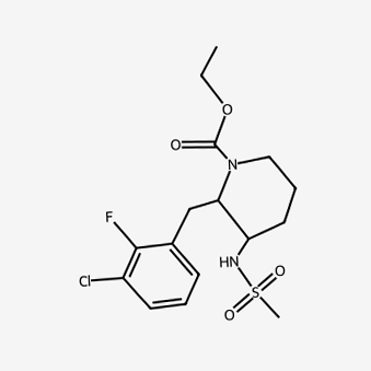 CCOC(=O)N1CCCC(NS(C)(=O)=O)C1Cc1cccc(Cl)c1F